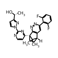 C[C@@H](O)c1ccn(-c2nccc([C@]34CC[C@@H](c5cc(-c6c(F)cccc6F)nnc53)C4(C)C)n2)n1